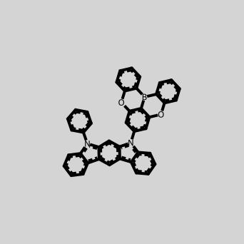 c1ccc(-n2c3ccccc3c3cc4c5ccccc5n(-c5cc6c7c(c5)Oc5ccccc5B7c5ccccc5O6)c4cc32)cc1